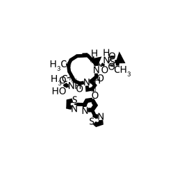 C[C@@H]1CCC=C[C@@H]2C[C@@]2(C(=O)NS(=O)(=O)C2(C)CC2)NC(=O)[C@@H]2C[C@@H](Oc3cc(-c4nccs4)nc(-c4nccs4)c3)CN2C(=O)[C@@H](NC(=O)O)[C@H](C)C1